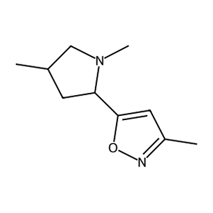 Cc1cc(C2CC(C)CN2C)on1